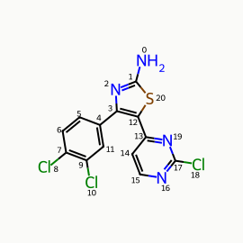 Nc1nc(-c2ccc(Cl)c(Cl)c2)c(-c2ccnc(Cl)n2)s1